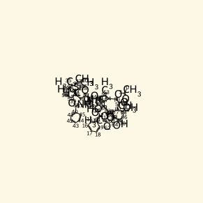 CC(=O)O[C@H]1C(=O)[C@@]2(C)[C@H]([C@H](OC(=O)c3ccccc3)[C@]3(O)C[C@H](OC(=O)[C@H](O[Si](C)(C)C(C)(C)C)C(NC(=O)c4ccccc4)c4ccccc4)C(C)=C1C3(C)C)[C@]1(OC(C)=O)CO[C@@H]1C[C@@H]2O